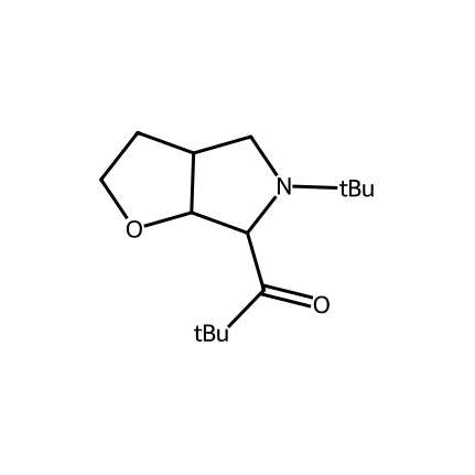 CC(C)(C)C(=O)C1C2OCCC2CN1C(C)(C)C